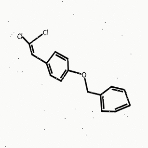 ClC(Cl)=Cc1ccc(OCc2ccccc2)cc1